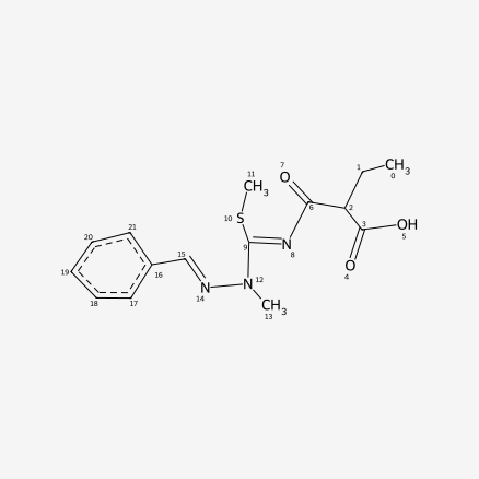 CCC(C(=O)O)C(=O)N=C(SC)N(C)N=Cc1ccccc1